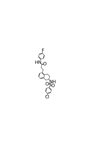 O=C(CCc1cccc2c1CCC(NS(=O)(=O)c1ccc(Cl)cc1)C2)Nc1ccc(F)cc1